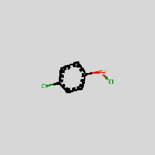 ClPc1ccc(Cl)cc1